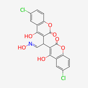 O=c1oc2ccc(Cl)cc2c(O)c1C(/C=N/O)c1c(O)c2cc(Cl)ccc2oc1=O